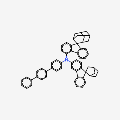 c1ccc(-c2ccc(-c3ccc(N(c4ccc5c(c4)-c4ccccc4C54CC5CCC4C5)c4cccc5c4-c4ccccc4C54C5CC6CC(C5)CC4C6)cc3)cc2)cc1